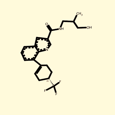 CC(CO)CNC(=O)c1cnc2c(C3=CC[C@@H](C(F)(F)F)CC3)cccc2c1